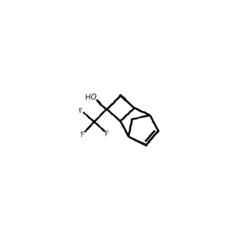 OC1(C(F)(F)F)CC2C3C=CC(C3)C21